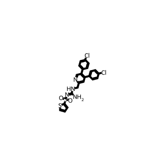 N/C(=N\S(=O)(=O)c1cccs1)NCc1cc(-c2ccc(Cl)cc2)c(-c2ccc(Cl)cc2)cn1